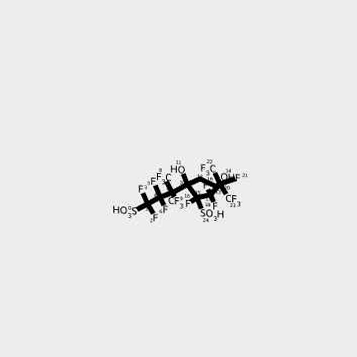 O=S(=O)(O)C(F)(F)C(F)(F)C(C(F)(F)F)(C(F)(F)F)C(O)(CCO)C(F)(C(F)(F)C(F)(C(F)(F)F)C(F)(F)F)S(=O)(=O)O